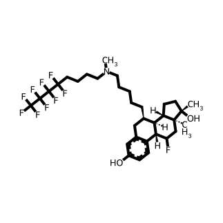 CN(CCCCC[C@@H]1Cc2cc(O)ccc2[C@H]2C(F)C[C@@]3(C)[C@@H](CC[C@]3(C)O)[C@H]12)CCCCC(F)(F)C(F)(F)C(F)(F)C(F)(F)F